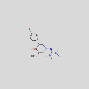 CN(C)C(=Nn1cc(C(=O)O)c(=O)c(-c2ccc(F)cc2)c1)N(C)C